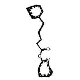 O=C(CCCCc1ccccc1)Oc1ccccn1